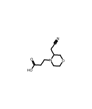 N#CCC1COCCN1CCC(=O)O